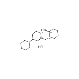 Cl.N[C@H]1CCCC[C@@H]1CN1CCCC(C2CCCCC2)C1